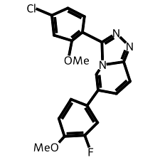 COc1ccc(-c2ccc3nnc(-c4ccc(Cl)cc4OC)n3c2)cc1F